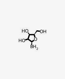 B[C@@H]1O[C@H](CO)[C@H](O)C1O